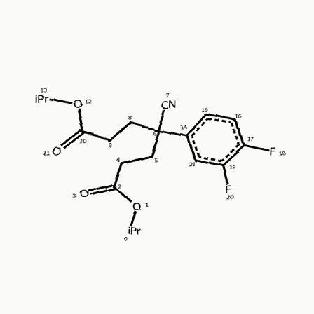 CC(C)OC(=O)CCC(C#N)(CCC(=O)OC(C)C)c1ccc(F)c(F)c1